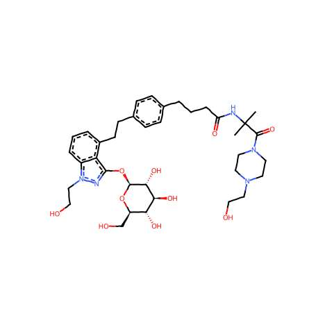 CC(C)(NC(=O)CCCc1ccc(CCc2cccc3c2c(O[C@@H]2O[C@H](CO)[C@@H](O)[C@H](O)[C@H]2O)nn3CCO)cc1)C(=O)N1CCN(CCO)CC1